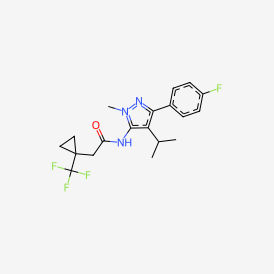 CC(C)c1c(-c2ccc(F)cc2)nn(C)c1NC(=O)CC1(C(F)(F)F)CC1